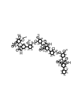 CCOc1cc([C@H](CS(C)(=O)=O)n2c(=O)[nH]c3cc(-c4cccc(CCOc5cc([C@H](CS(C)(=O)=O)n6c(=O)[nH]c7cc(-c8cccc(CCOc9cc([C@H](CS(C)(=O)=O)n%10c(=O)[nH]c%11cc(-c%12ccccc%12C)ccc%11%10)ccc9OC)c8Cl)ccc76)ccc5OC)c4OC)ccc32)ccc1OC